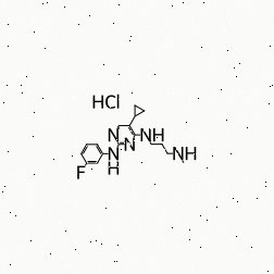 CNCCCNc1nc(Nc2cccc(F)c2)ncc1C1CC1.Cl